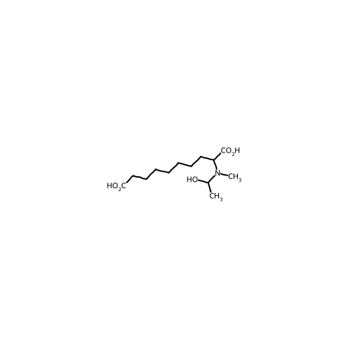 CC(O)N(C)C(CCCCCCCC(=O)O)C(=O)O